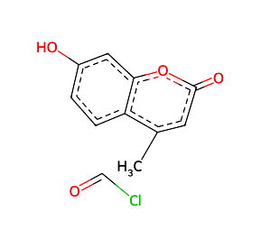 Cc1cc(=O)oc2cc(O)ccc12.O=CCl